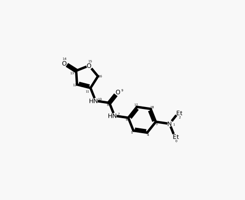 CCN(CC)c1ccc(NC(=O)NC2=CC(=O)OC2)cc1